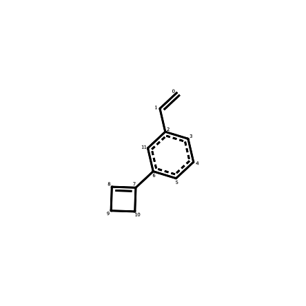 C=Cc1cccc(C2=CCC2)c1